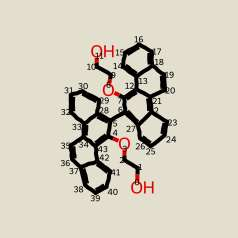 OCCOc1c(-c2c(OCCO)c3c4ccccc4ccc3c3ccccc23)c2ccccc2c2ccc3ccccc3c12